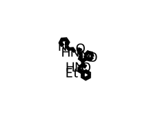 CC[C@@H](NC(=O)c1cc(C(=O)NCCc2ccccn2)n2c1COCC2)c1ccccc1